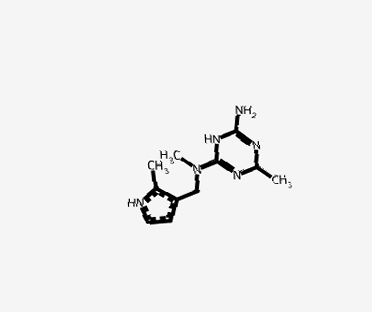 Cc1[nH]ccc1CN(C)C1=NC(C)N=C(N)N1